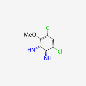 COC1=C(Cl)C=C(Cl)C(=N)C1=N